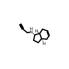 C#CCN[C@H]1CC[C@@H]2CC=CC[C@@H]21